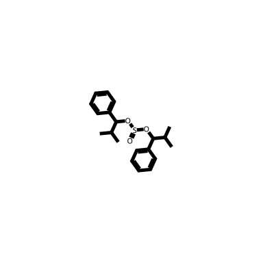 CC(C)C(OS(=O)OC(c1ccccc1)C(C)C)c1ccccc1